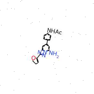 CC(=O)Nc1ccc(-c2cc(N)n3nc(C4=CCCO4)nc3c2)cc1